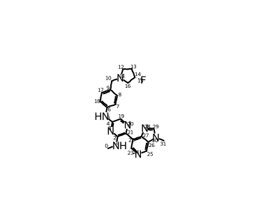 CNc1nc(Nc2ccc(CN3CC[C@H](F)C3)cc2)cnc1-c1cncc2c1ncn2C